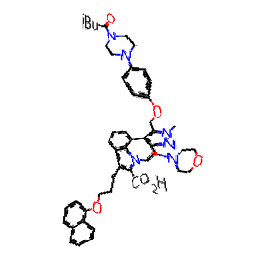 CCC(C)C(=O)N1CCN(c2ccc(OCc3c(-c4cccc5c(CCCOc6cccc7ccccc67)c(C(=O)O)n(CCN6CCOCC6)c45)c(C)nn3C)cc2)CC1